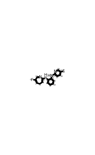 FC1=CCC=C(Nc2ccccc2Nc2ccc(F)cn2)N=C1